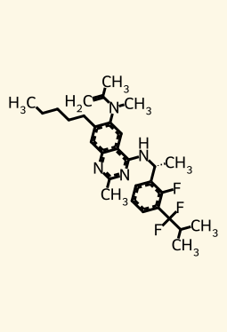 C=C(C)N(C)c1cc2c(N[C@H](C)c3cccc(C(F)(F)C(C)C)c3F)nc(C)nc2cc1CCCCC